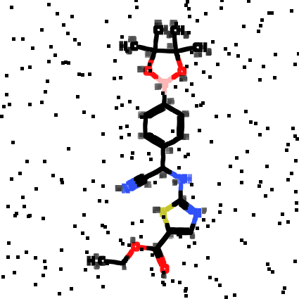 CCOC(=O)c1cnc(NC(C#N)c2ccc(B3OC(C)(C)C(C)(C)O3)cc2)s1